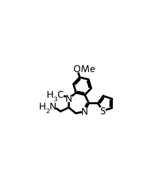 COc1ccc2c(c1)N(C)C(CN)CN=C2c1cccs1